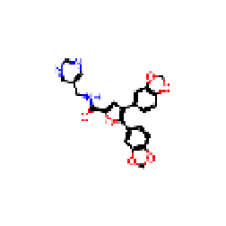 O=C(NCc1cncnc1)c1cc(-c2ccc3c(c2)OCO3)c(-c2ccc3c(c2)OCO3)o1